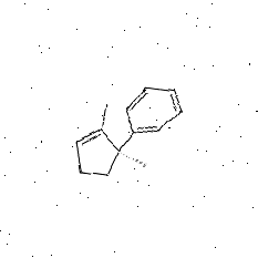 CC1=CCC[C@]1(C)c1ccccc1